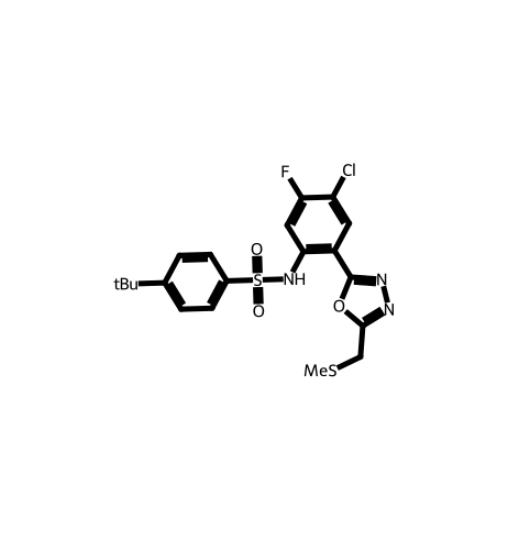 CSCc1nnc(-c2cc(Cl)c(F)cc2NS(=O)(=O)c2ccc(C(C)(C)C)cc2)o1